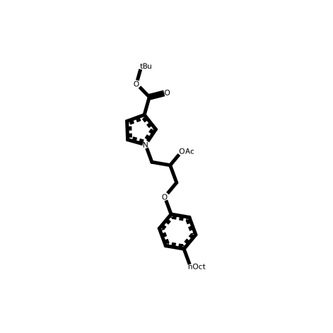 CCCCCCCCc1ccc(OCC(Cn2ccc(C(=O)OC(C)(C)C)c2)OC(C)=O)cc1